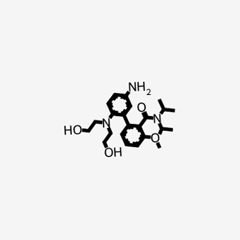 COc1cccc(-c2cc(N)ccc2N(CCO)CCO)c1C(=O)N(C(C)C)C(C)C